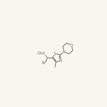 Cc1nc(N2CCOCC2)sc1C(Br)C=O